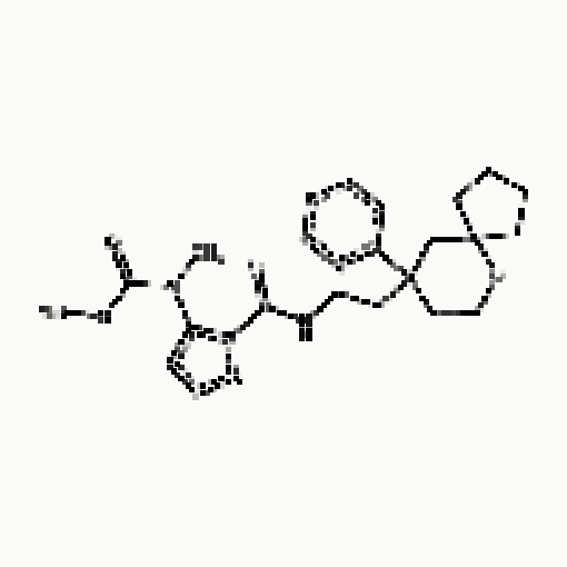 CN(C(=O)OC(C)(C)C)c1ccsc1C(=O)NCCC1(c2ccccn2)CCOC2(CCCC2)C1